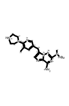 CCCCN(C)c1nc(N)c2ncc(Cc3cnc(N4CCNCC4)c(C)c3)n2n1